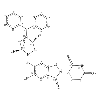 O=C1CCC(N2Cc3cc(CN4C[C@@H]5C[C@H]4CN5C(c4ccccc4)c4ccccc4)c(F)cc3C2=O)C(=O)N1